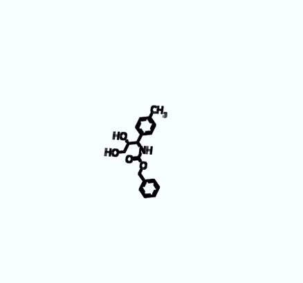 Cc1ccc(C(NC(=O)OCc2ccccc2)[C@H](O)CO)cc1